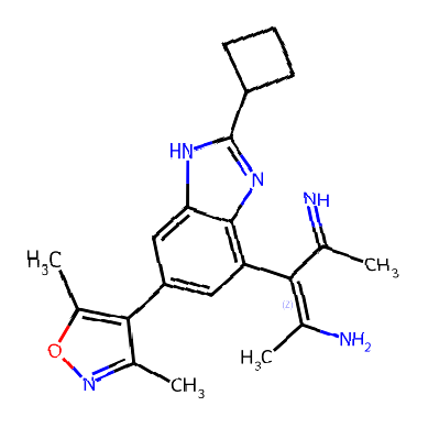 CC(=N)/C(=C(/C)N)c1cc(-c2c(C)noc2C)cc2[nH]c(C3CCC3)nc12